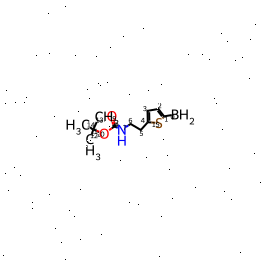 Bc1ccc(CCNC(=O)OC(C)(C)C)s1